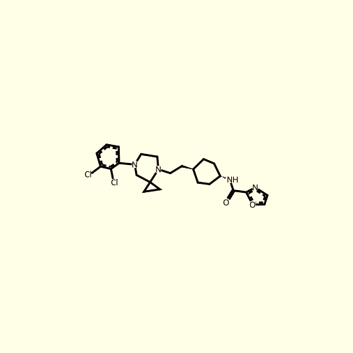 O=C(N[C@H]1CC[C@H](CCN2CCN(c3cccc(Cl)c3Cl)CC23CC3)CC1)c1ncco1